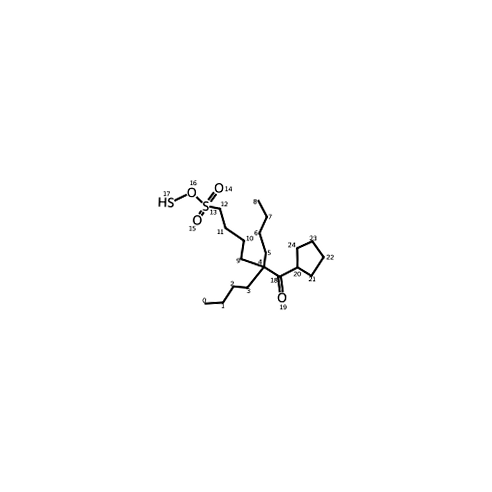 CCCCC(CCCC)(CCCCS(=O)(=O)OS)C(=O)C1CCCC1